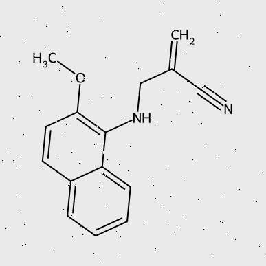 C=C(C#N)CNc1c(OC)ccc2ccccc12